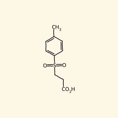 Cc1ccc(S(=O)(=O)CCC(=O)O)cc1